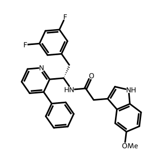 COc1ccc2[nH]cc(CC(=O)N[C@@H](Cc3cc(F)cc(F)c3)c3ncccc3-c3ccccc3)c2c1